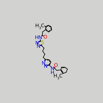 CC1=C(CC(=O)Nc2ccc(CCCCc3nnc(NC(=O)Cc4ccccc4C)s3)nn2)C=CCC1